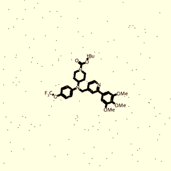 COc1cc(-c2cc(CN(c3ccc(OC(F)(F)F)cc3)C3CCN(C(=O)OC(C)(C)C)CC3)ccn2)cc(OC)c1OC